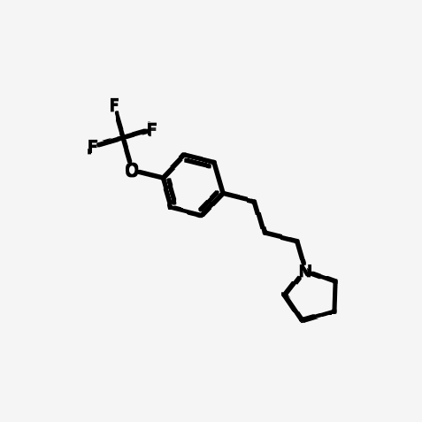 FC(F)(F)Oc1ccc(CCCN2CCCC2)cc1